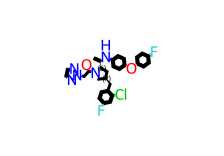 C=C(Nc1ccc(Oc2ccc(F)cc2)cc1)[C@@H]1C[C@@H](Cc2ccc(F)cc2Cl)CN1C(=O)Cn1nccn1